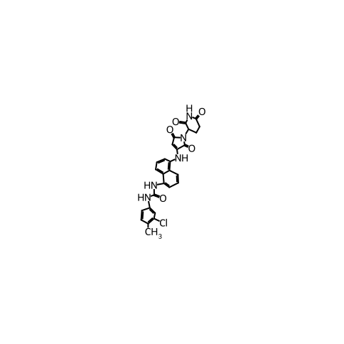 Cc1ccc(NC(=O)Nc2cccc3c(NC4=CC(=O)N(C5CCC(=O)NC5=O)C4=O)cccc23)cc1Cl